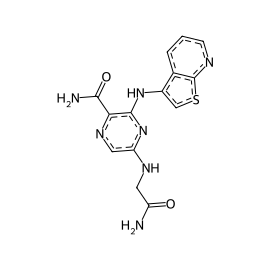 NC(=O)CNc1cnc(C(N)=O)c(Nc2csc3ncccc23)n1